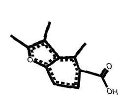 Cc1oc2ccc(C(=O)O)c(C)c2c1C